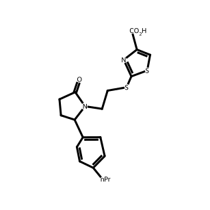 CCCc1ccc(C2CCC(=O)N2CCSc2nc(C(=O)O)cs2)cc1